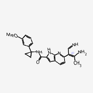 COc1cccc(C2(NC(=O)c3cc4ccc(/C(C=N)=C(\C)N)nc4[nH]3)CC2)c1